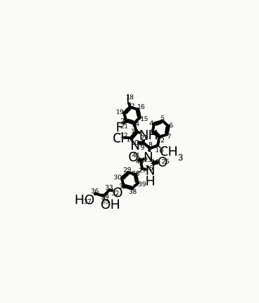 C[C@@H](c1ccccc1)C(c1nc(Cl)c(-c2ccc(I)cc2F)[nH]1)N1C(=O)N[C@H](c2ccc(OC[C@H](O)CO)cc2)C1=O